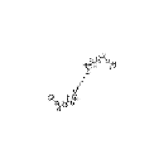 O=C(Nc1ccc(C(=O)N2CC(c3nccs3)C2)s1)[C@@H]1C[C@@H](OCCCCCCCCO[C@H]2CN[C@H](C(=O)Nc3ccc(C(=O)N4CC(c5nccs5)C4)s3)C2)CN1